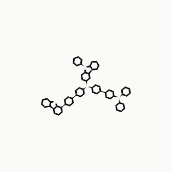 c1ccc(N(c2ccccc2)c2ccc(-c3ccc(N(c4ccc(-c5ccc(-c6cccc7c6oc6ccccc67)cc5)cc4)c4ccc5c(c4)c4ccccc4n5-c4ccccc4)cc3)cc2)cc1